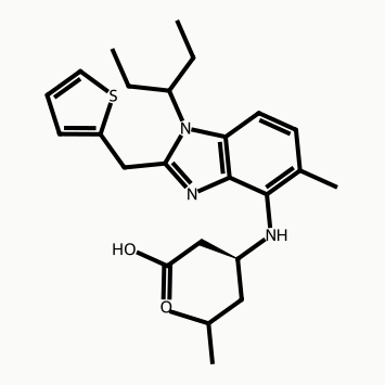 CCC(CC)n1c(Cc2cccs2)nc2c(N[C@H](CC(=O)O)CC(C)C)c(C)ccc21